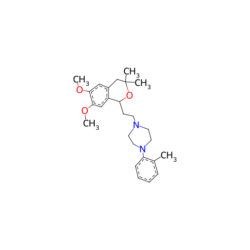 COc1cc2c(cc1OC)C(CCN1CCN(c3ccccc3C)CC1)OC(C)(C)C2